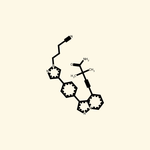 CC(C)(C#Cc1cccn2ncc(-c3ccc(-c4cnn(CCCC#N)c4)cc3)c12)C(N)=O